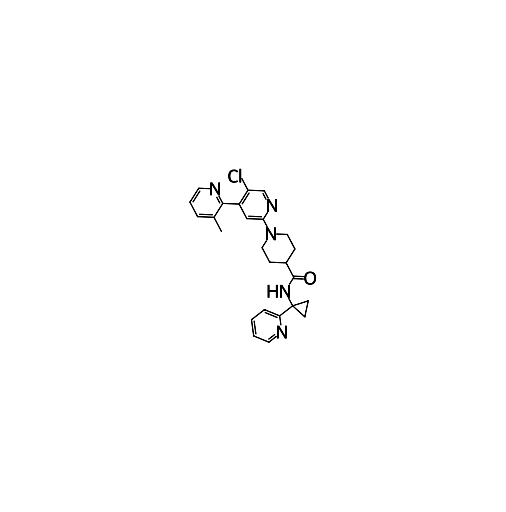 Cc1cccnc1-c1cc(N2CCC(C(=O)NC3(c4ccccn4)CC3)CC2)ncc1Cl